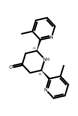 Cc1cccnc1[C@@H]1CC(=O)C[C@H](c2ncccc2C)N1